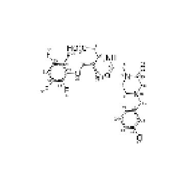 O=C(O)CC(NC(=O)CN1CCN(Cc2cccc(Cl)c2)CC1=O)C(=O)COc1c(F)c(F)cc(F)c1F